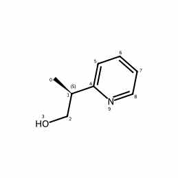 C[C@H](CO)c1ccccn1